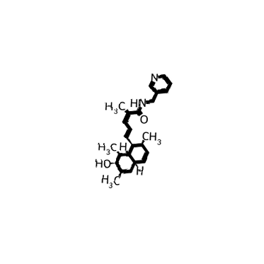 CC(=CC=C[C@@H]1[C@H]2[C@H](C)[C@@H](O)[C@H](C)C[C@@H]2C=C[C@@H]1C)C(=O)NCc1cccnc1